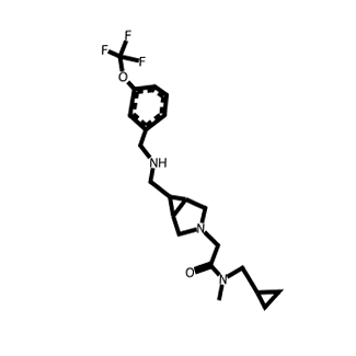 CN(CC1CC1)C(=O)CN1CC2C(CNCc3cccc(OC(F)(F)F)c3)C2C1